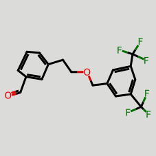 O=Cc1cccc(CCOCc2cc(C(F)(F)F)cc(C(F)(F)F)c2)c1